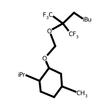 CCC(C)CC(OCOC1CC(C)CCC1C(C)C)(C(F)(F)F)C(F)(F)F